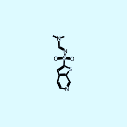 CN(C)/C=N/S(=O)(=O)c1cc2ccncc2s1